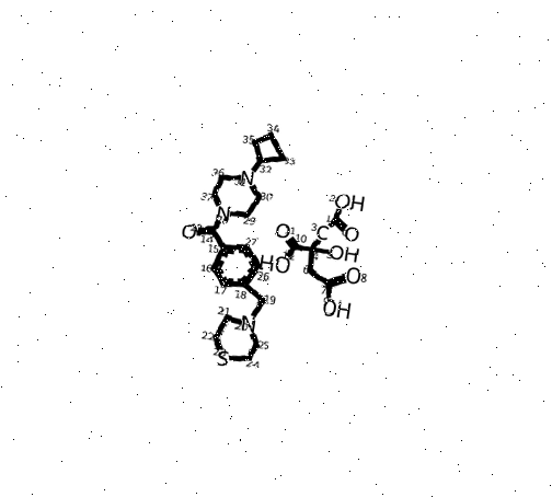 O=C(O)CC(O)(CC(=O)O)C(=O)O.O=C(c1ccc(CN2CCSCC2)cc1)N1CCN(C2CCC2)CC1